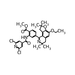 CCOc1cc2c(c3c1OC(C)(C)C3)C(c1ccc(C(=O)OC)c(NC(=O)c3cc(Cl)nc(Cl)c3)c1)=NC(C)(C)C2